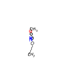 CCCCCCC[C@H]1CC[C@H](c2ccc(-c3ccc(OCC)cc3)nn2)CC1